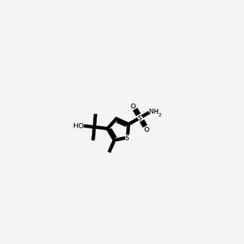 Cc1sc(S(N)(=O)=O)cc1C(C)(C)O